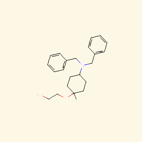 OCCOC1(C(F)(F)F)CCC(N(Cc2ccccc2)Cc2ccccc2)CC1